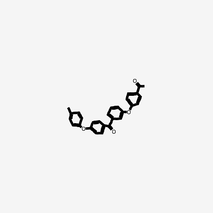 CC(=O)c1ccc(Oc2cccc(C(=O)c3ccc(Oc4ccc(C)cc4)cc3)c2)cc1